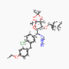 CCOc1ccc(Cc2cc(C(N=[N+]=[N-])[C@@H]3O[C@H]4OC(C)(C)O[C@H]4[C@@H]3OCC(C)(C)[SiH](C)C)ccc2Cl)cc1